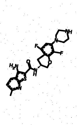 Cc1ccc2c(N)c(C(=O)N[C@H]3COc4c(F)c(N5CCNCC5)cc(F)c4C3)sc2n1